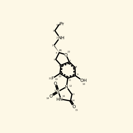 CC(C)CNC[C@H]1Cc2c(cc(O)c(N3CC(=O)NS3(=O)=O)c2F)O1